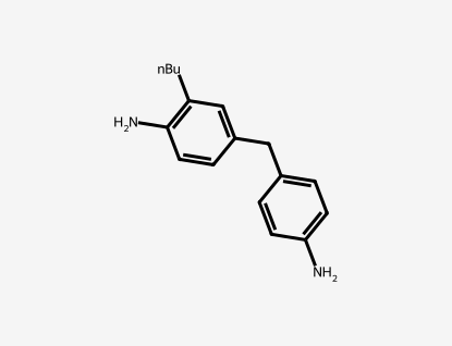 CCCCc1cc(Cc2ccc(N)cc2)ccc1N